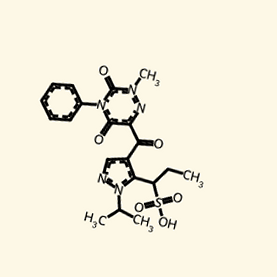 CCC(c1c(C(=O)c2nn(C)c(=O)n(-c3ccccc3)c2=O)cnn1C(C)C)S(=O)(=O)O